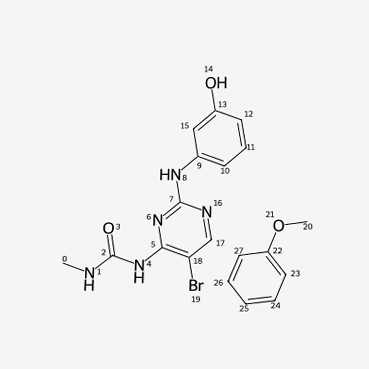 CNC(=O)Nc1nc(Nc2cccc(O)c2)ncc1Br.COc1ccccc1